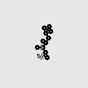 CC1(C)c2ccccc2-c2ccc(-c3cc(-c4ccc(-c5cccc(-c6ccc7c(c6)C(c6ccccc6)(c6ccccc6)c6ccccc6-7)c5)c5ccccc45)nc(-c4ccccc4)n3)cc21